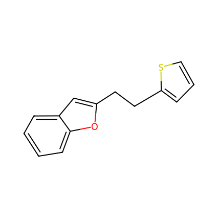 c1csc(CCc2cc3ccccc3o2)c1